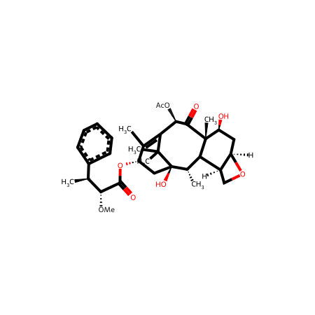 CO[C@@H](C(=O)O[C@H]1C[C@@]2(O)[C@@H](C)C3[C@@H]4CO[C@@H]4C[C@H](O)[C@@]3(C)C(=O)[C@H](OC(C)=O)C(=C1C)C2(C)C)[C@@H](C)c1ccccc1